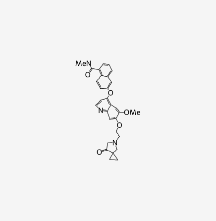 CNC(=O)c1cccc2cc(Oc3ccnc4cc(OCCN5CC(=O)C6(CC6)C5)c(OC)cc34)ccc12